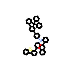 c1ccc(C2(c3ccccc3)c3ccccc3-c3ccc(-c4ccc(N(c5ccc(-c6cccc7c6sc6ccccc67)cc5)c5ccccc5-c5ccc6ccccc6c5)cc4)cc32)cc1